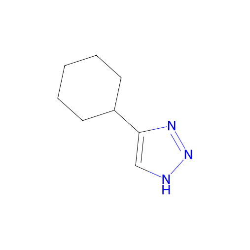 c1[nH]nnc1C1CCCCC1